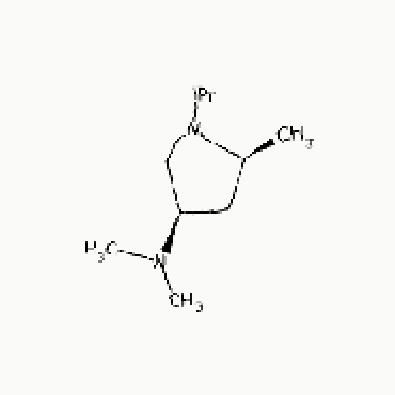 CC(C)N1C[C@H](N(C)C)C[C@@H]1C